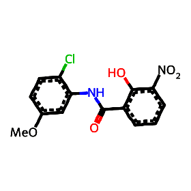 COc1ccc(Cl)c(NC(=O)c2cccc([N+](=O)[O-])c2O)c1